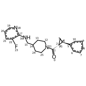 O=C([C@@H]1C[C@H]1c1ccccc1)N1CCC(CNc2ncccc2F)CC1